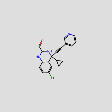 O=CC1Nc2ccc(Cl)cc2C(C#Cc2cccnc2)(C2CC2)N1